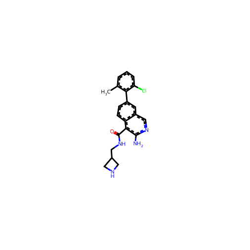 Cc1cccc(Cl)c1-c1ccc2c(C(=O)NCC3CNC3)c(N)ncc2c1